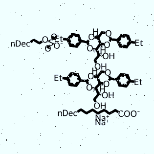 CCCCCCCCCCCCCCCCCC(=O)[O-].CCCCCCCCCCCCOS(=O)(=O)[O-].CCc1ccc(C2OC[C@@H]3OC(c4ccc(CC)cc4)O[C@H]([C@H](O)CO)[C@@H]3O2)cc1.CCc1ccc(C2OC[C@@H]3OC(c4ccc(CC)cc4)O[C@H]([C@H](O)CO)[C@@H]3O2)cc1.[Na+].[Na+]